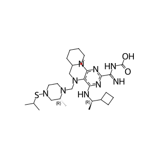 C=Nc1nc(C(=N)NC(=O)O)nc(N[C@H](C)C2CCC2)c1N(CC1CCCCC1)CN1CCN(SC(C)C)C[C@H]1C